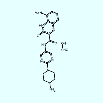 CNc1cccc2cc(C(=O)Nc3cnc(N4CCC(N)CC4)nc3)c(=O)[nH]c12.O=CO